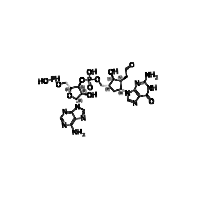 Nc1nc2c(ncn2[C@@H]2C[C@H](COP(=O)(O)O[C@H]3[C@@H](O)[C@H](n4cnc5c(N)ncnc54)O[C@@H]3COPO)[C@@H](O)[C@H]2CC=O)c(=O)[nH]1